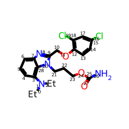 CCN(CC)c1cccc2nc(COc3ccc(Cl)cc3Cl)n(CCCOC(N)=O)c12